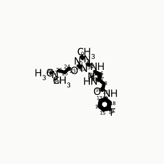 Cc1nc(Nc2cc(CC(=O)Nc3cccc(F)c3)[nH]n2)nc(OCCCN(C)C)n1